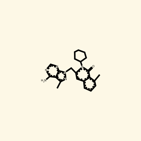 Cc1nn(Cc2cc3cccc(C)c3c(=O)n2C2CCCCC2)c2ncnc(N)c12